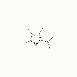 Cc1sc(N(C)C)c(C)c1C